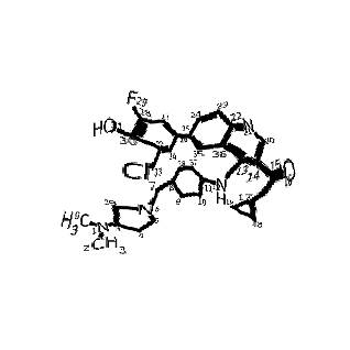 CN(C)C1CCN(CC2CCC(Nc3c(C(=O)C4CC4)cnc4ccc(-c5cc(F)c(O)c(Cl)c5)cc34)CC2)C1